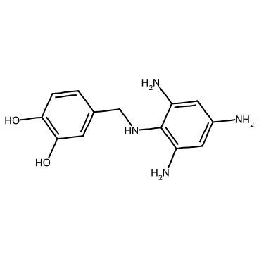 Nc1cc(N)c(NCc2ccc(O)c(O)c2)c(N)c1